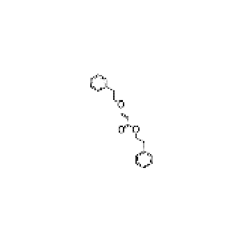 O=C(/C=C/OCCc1ccccc1)OCCc1ccccc1